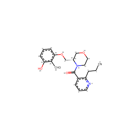 N#CCCc1ncccc1C(=O)N1CCOC[C@H]1COc1cccc(O)c1C=O